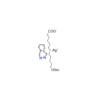 CCCCCCCCCCCCCCCCCCCCCC(=O)[O-].[Ag+].c1ccc2cnncc2c1